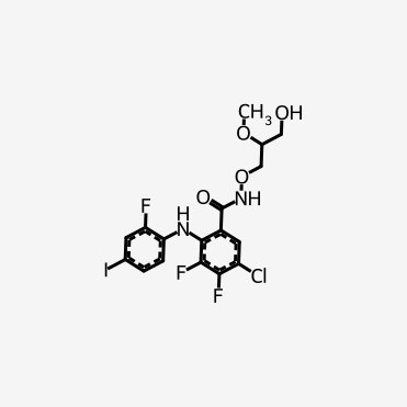 COC(CO)CONC(=O)c1cc(Cl)c(F)c(F)c1Nc1ccc(I)cc1F